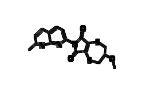 COC1CSC2=C(SC1)C(=O)N(c1ccc3ccc(C)nc3n1)C2=O